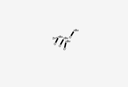 CCCC[O-].CCCC[O-].CCCC[O-].CCCC[O-].[Zn+4]